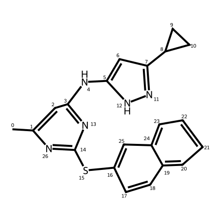 Cc1cc(Nc2cc(C3CC3)n[nH]2)nc(Sc2ccc3ccccc3c2)n1